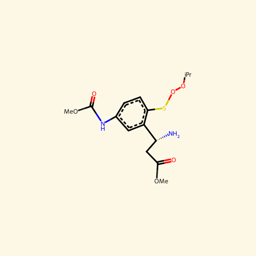 COC(=O)C[C@@H](N)c1cc(NC(=O)OC)ccc1SOOC(C)C